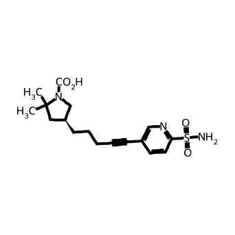 CC1(C)C[C@H](CCCC#Cc2ccc(S(N)(=O)=O)nc2)CN1C(=O)O